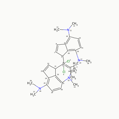 C[C](C)=[Zr]([Cl])([Cl])([CH]1C=Cc2c(N(C)C)ccc(N(C)C)c21)[CH]1C=Cc2c(N(C)C)ccc(N(C)C)c21